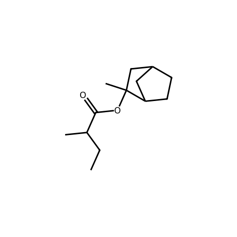 CCC(C)C(=O)OC1(C)CC2CCC1C2